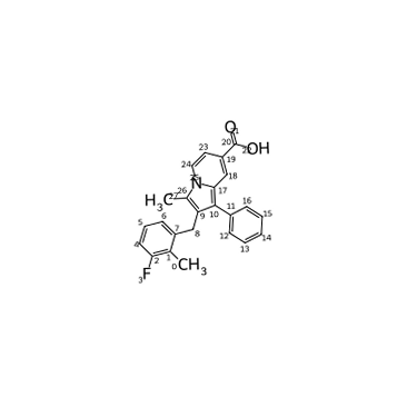 Cc1c(F)cccc1Cc1c(-c2ccccc2)c2cc(C(=O)O)ccn2c1C